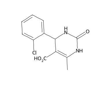 CC1=C(C(=O)O)C(c2ccccc2Cl)NC(=O)N1